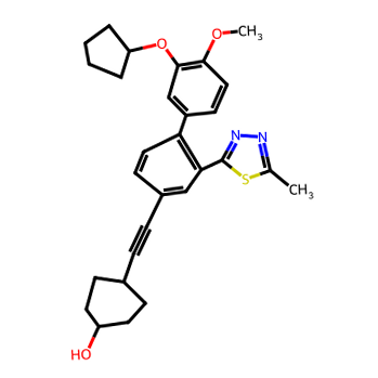 COc1ccc(-c2ccc(C#CC3CCC(O)CC3)cc2-c2nnc(C)s2)cc1OC1CCCC1